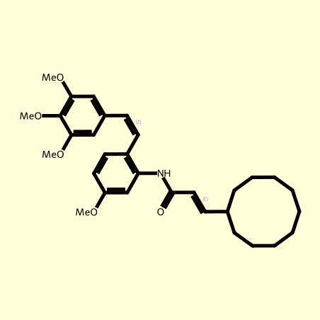 COc1ccc(/C=C\c2cc(OC)c(OC)c(OC)c2)c(NC(=O)/C=C/C2CCCCCCCCC2)c1